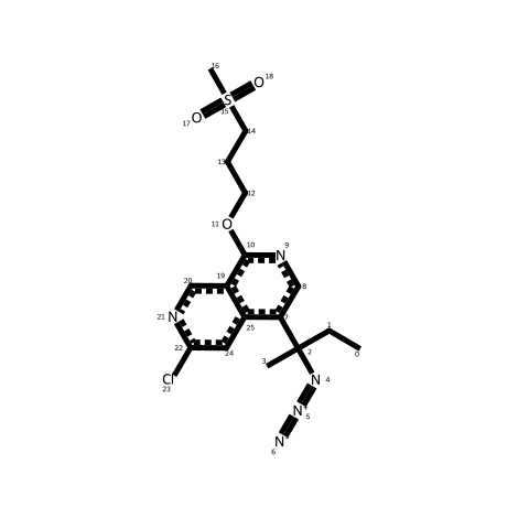 CCC(C)(N=[N+]=[N-])c1cnc(OCCCS(C)(=O)=O)c2cnc(Cl)cc12